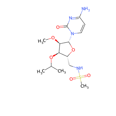 CO[C@@H]1[C@H](OC(C)C)[C@@H](CNS(C)(=O)=O)O[C@H]1n1ccc(N)nc1=O